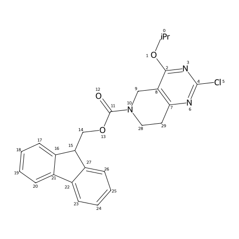 CC(C)Oc1nc(Cl)nc2c1CN(C(=O)OCC1c3ccccc3-c3ccccc31)CC2